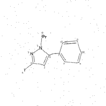 CC(C)n1nc(I)cc1-c1ccccc1